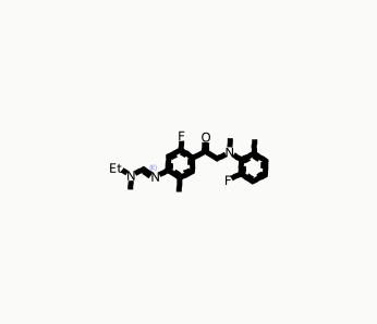 CCN(C)/C=N/c1cc(F)c(C(=O)CN(C)c2c(C)cccc2F)cc1C